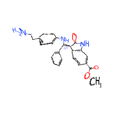 COC(=O)c1ccc2c(c1)NC(=O)/C2=C(\Nc1ccc(CCN)cc1)c1ccccc1